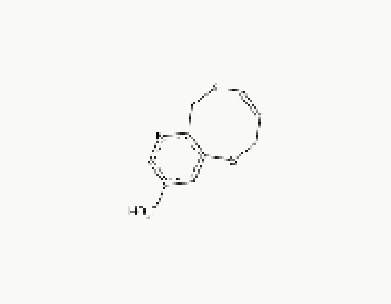 O=C(O)c1cnc2c(c1)SCC=CSC2